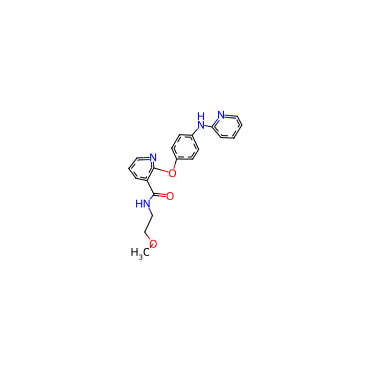 COCCNC(=O)c1cccnc1Oc1ccc(Nc2ccccn2)cc1